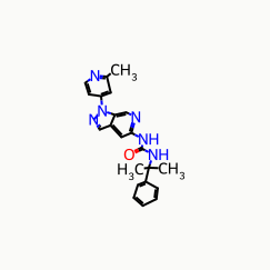 Cc1cc(-n2ncc3cc(NC(=O)NC(C)(C)c4ccccc4)ncc32)ccn1